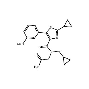 COc1cccc(-c2sc(C3CC3)nc2C(=O)N(CC(N)=O)CC2CC2)c1